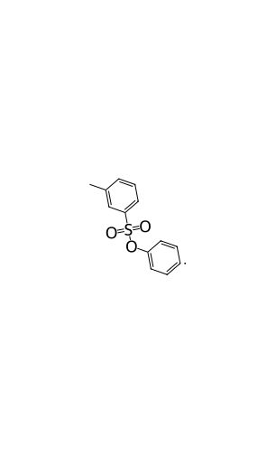 Cc1cccc(S(=O)(=O)Oc2cc[c]cc2)c1